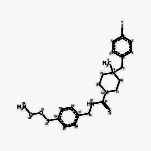 C[N+]1(Cc2ccc(I)cn2)CCN(C(=S)NCc2ccc(SOON)cc2)CC1